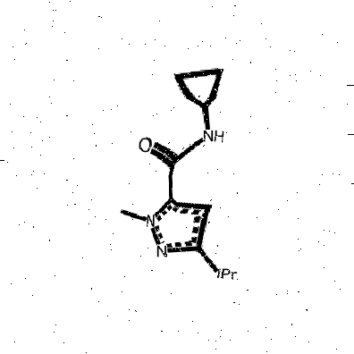 CC(C)c1cc(C(=O)NC2CC2)n(C)n1